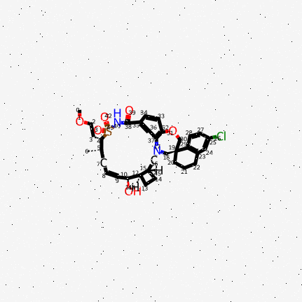 COCC[C@H]1[C@@H](C)C/C=C\[C@H](O)[C@@H]2CC[C@H]2CN2C[C@@]3(CCCc4cc(Cl)ccc43)COc3ccc(cc32)C(=O)NS1(=O)=O